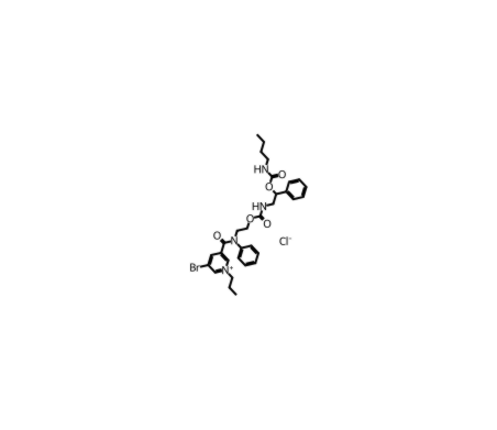 CCCCNC(=O)OC(CNC(=O)OCCN(C(=O)c1cc(Br)c[n+](CCC)c1)c1ccccc1)c1ccccc1.[Cl-]